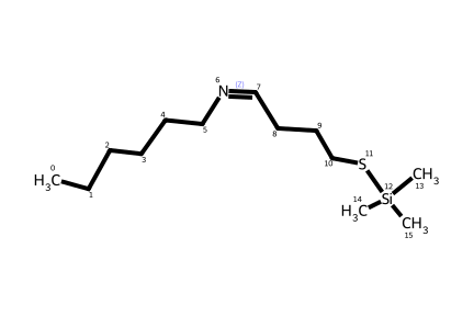 CCCCCC/N=C\CCCS[Si](C)(C)C